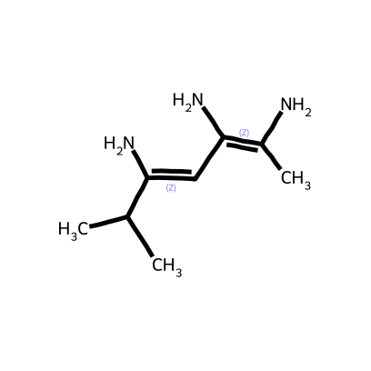 C/C(N)=C(N)\C=C(/N)C(C)C